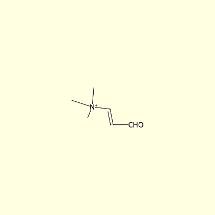 C[N+](C)(C)C=[C]C=O